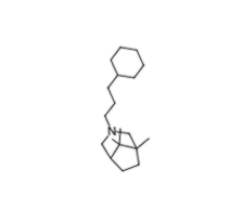 CC12CCC(CN(CCCC3CCCCC3)C1)C2(C)C